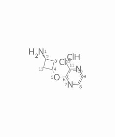 Cl.N[C@H]1C[C@H](Oc2nccnc2Cl)C1